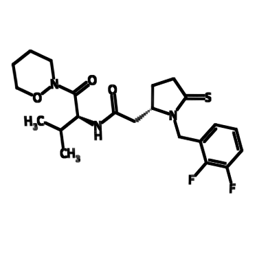 CC(C)[C@H](NC(=O)C[C@@H]1CCC(=S)N1Cc1cccc(F)c1F)C(=O)N1CCCCO1